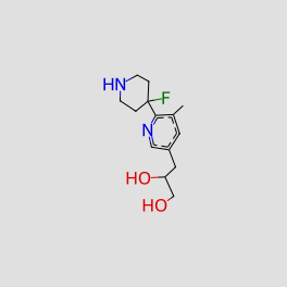 Cc1cc(CC(O)CO)cnc1C1(F)CCNCC1